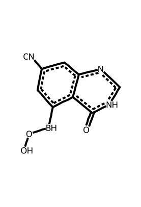 [C-]#[N+]c1cc(BOO)c2c(=O)[nH]cnc2c1